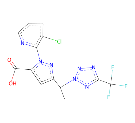 CC(c1cc(C(=O)O)n(-c2ncccc2Cl)n1)n1nnc(C(F)(F)F)n1